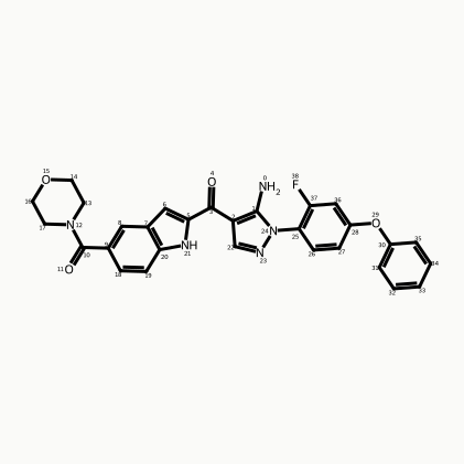 Nc1c(C(=O)c2cc3cc(C(=O)N4CCOCC4)ccc3[nH]2)cnn1-c1ccc(Oc2ccccc2)cc1F